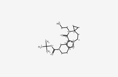 CC(C)(C)OC(=O)N1CCc2nn3c(c2C1)C(=O)N(CCO)C1(CC3)CC1